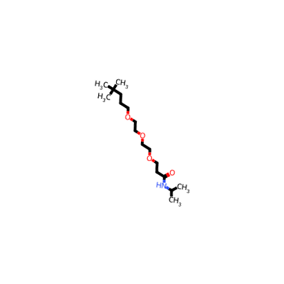 CC(C)NC(=O)CCOCCOCCOCCCC(C)(C)C